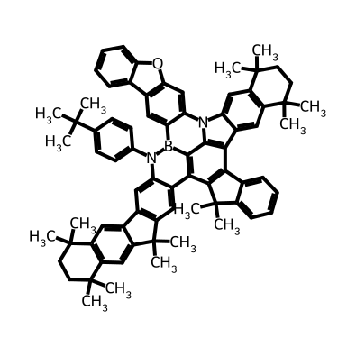 CC(C)(C)c1ccc(N2B3c4cc5c(cc4-n4c6cc7c(cc6c6c8c(c(c3c64)-c3cc4c(cc32)-c2cc3c(cc2C4(C)C)C(C)(C)CCC3(C)C)C(C)(C)c2ccccc2-8)C(C)(C)CCC7(C)C)oc2ccccc25)cc1